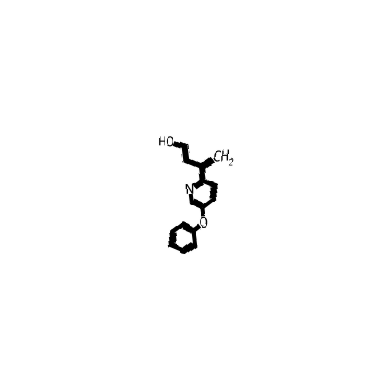 C=C(CCO)c1ccc(Oc2ccccc2)cn1